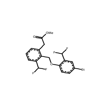 CCc1ccc(OCc2c(CC(=O)OC)cccc2C(F)F)c(C(F)F)c1